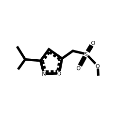 COS(=O)(=O)Cc1cc(C(C)C)no1